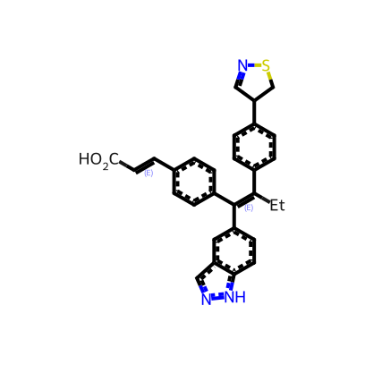 CC/C(=C(/c1ccc(/C=C/C(=O)O)cc1)c1ccc2[nH]ncc2c1)c1ccc(C2C=NSC2)cc1